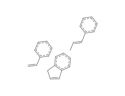 C1=Cc2ccccc2C1.C=Cc1ccccc1.CC=Cc1ccccc1